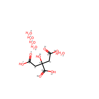 O.O.O.O.O.O=C(O)CC(O)(CC(=O)O)C(=O)O